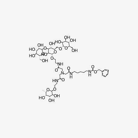 C[C@@H]1O[C@@H](OCCNC(=O)CN(CC(=O)NCCCCCNC(=O)OCc2ccccc2)CC(=O)NCCO[C@H]2O[C@H](CO[C@H]3O[C@H](CO)[C@@H](O)[C@H](O)[C@@H]3O)[C@@H](O)[C@H](O[C@H]3O[C@H](CO)[C@@H](O)[C@H](O)[C@@H]3O)[C@@H]2O)[C@@H](O)[C@H](O)[C@@H]1O